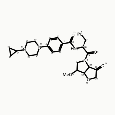 COC1CN(C(=O)[C@H](CC(C)C)NC(=O)c2ccc(N3CCN(C4CC4)CC3)cc2)C2C(=O)COC12